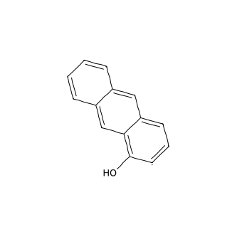 Oc1[c]ccc2cc3ccccc3cc12